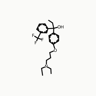 CCN(CC)CCCOc1ccc(C(O)(CC)c2cccc(C(F)(F)F)c2)cc1